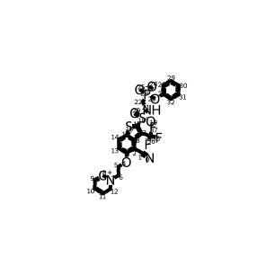 N#Cc1c(OCCN2[C+]=CC=CC2)ccc2sc(S(=O)(=O)NCP(=O)([O-])Oc3ccccc3)c(C(F)(F)F)c12